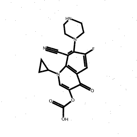 N#Cc1c(N2CCNCC2)c(F)cc2c(=O)c(OC(=O)O)cn(C3CC3)c12